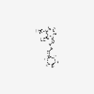 Cc1cccc(OCCOc2ccccc2)c1C